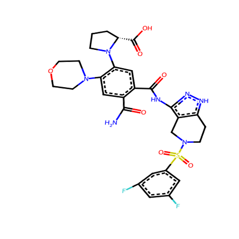 NC(=O)c1cc(N2CCOCC2)c(N2CCC[C@@H]2C(=O)O)cc1C(=O)Nc1n[nH]c2c1CN(S(=O)(=O)c1cc(F)cc(F)c1)CC2